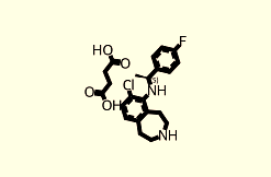 C[C@H](Nc1c(Cl)ccc2c1CCNCC2)c1ccc(F)cc1.O=C(O)CCC(=O)O